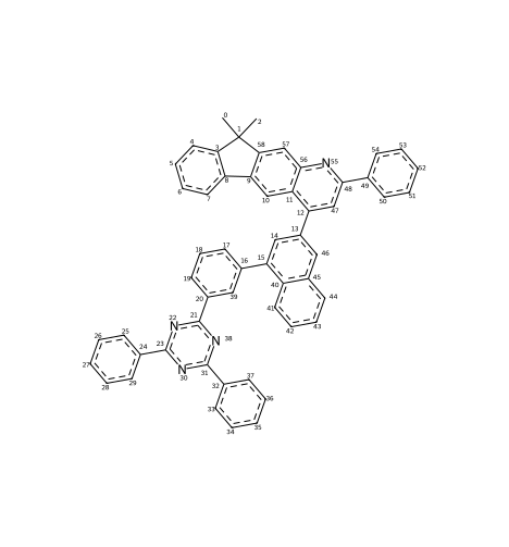 CC1(C)c2ccccc2-c2cc3c(-c4cc(-c5cccc(-c6nc(-c7ccccc7)nc(-c7ccccc7)n6)c5)c5ccccc5c4)cc(-c4ccccc4)nc3cc21